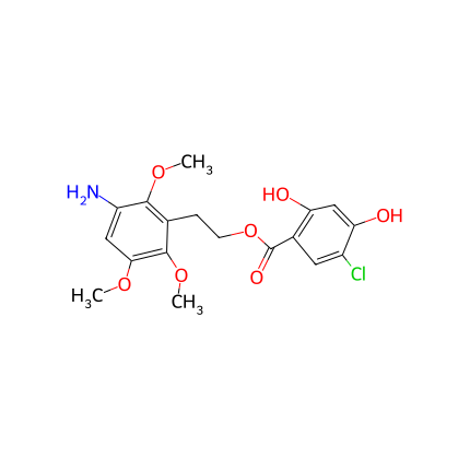 COc1cc(N)c(OC)c(CCOC(=O)c2cc(Cl)c(O)cc2O)c1OC